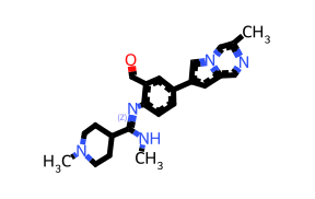 CN/C(=N\c1ccc(-c2cc3cnc(C)cn3c2)cc1C=O)C1CCN(C)CC1